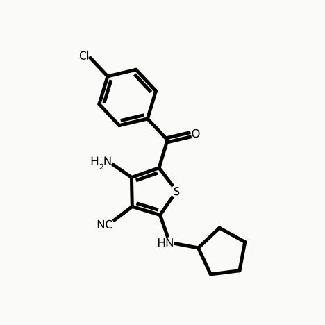 N#Cc1c(NC2CCCC2)sc(C(=O)c2ccc(Cl)cc2)c1N